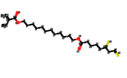 C=C(C)C(=O)OCCCCCCCCCCCCOC(=O)CCCCC(=S)CC=S